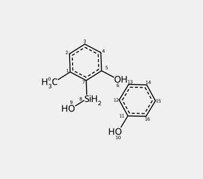 Cc1cccc(O)c1[SiH2]O.Oc1ccccc1